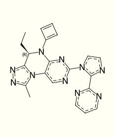 CC[C@@H]1c2nnc(C)n2-c2cnc(-n3ccnc3-c3ncccn3)nc2N1C1=CC=C1